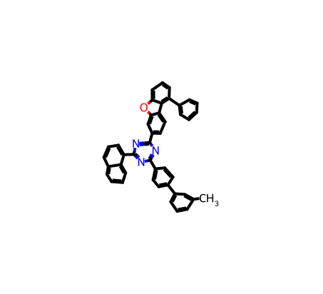 Cc1cccc(-c2ccc(-c3nc(-c4ccc5c(c4)oc4cccc(-c6ccccc6)c45)nc(-c4cccc5ccccc45)n3)cc2)c1